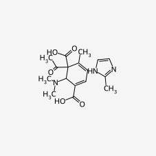 CC(=O)C1(C(=O)O)C(C)=CC=C(C(=O)O)C1N(C)C.Cc1ncc[nH]1